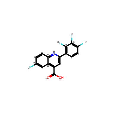 O=C(O)c1cc(-c2ccc(F)c(F)c2F)nc2ccc(F)cc12